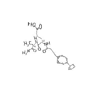 C[C@@H](NC(=O)[C@H](CCC(=O)O)NC(=O)CCc1ccc(-c2cccs2)cc1)C(N)=O